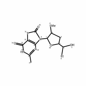 CCC(O)C1CC(SC)C(n2c(=O)sc3c(=O)[nH]c(C)nc32)O1